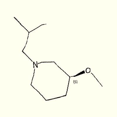 CO[C@H]1CCCN(CC(C)C)C1